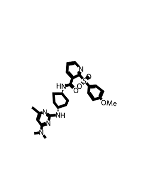 COc1ccc(S(=O)(=O)c2ncccc2C(=O)N[C@H]2CC[C@@H](Nc3nc(C)cc(N(C)C)n3)CC2)cc1